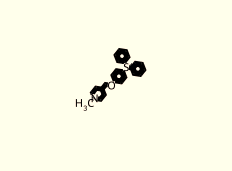 CN1CCC(COc2ccc([S+](c3ccccc3)c3ccccc3)cc2)CC1